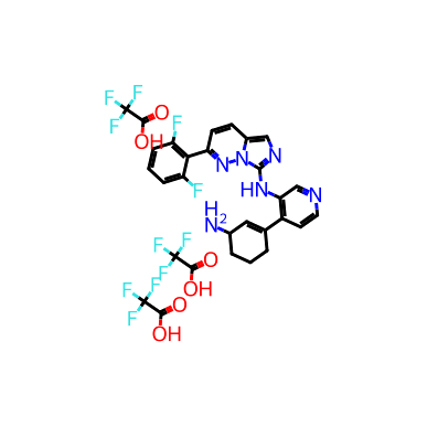 NC1C=C(c2ccncc2Nc2ncc3ccc(-c4c(F)cccc4F)nn23)CCC1.O=C(O)C(F)(F)F.O=C(O)C(F)(F)F.O=C(O)C(F)(F)F